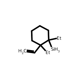 C=CC1(CC)CCCCC1([SiH3])CC